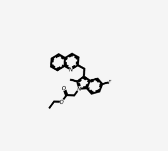 CCOC(=O)Cn1c(C)c(Cc2ccc3ccccc3n2)c2cc(F)ccc21